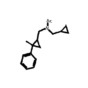 CC(=O)N(CC1CC1)CC1CC1(C)c1ccccc1